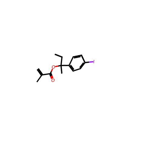 C=C(C)C(=O)OC(C)(CC)c1ccc(I)cc1